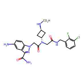 NC(=O)c1nn(CC(=O)N(CC(=O)NCc2cccc(Cl)c2F)[C@H]2C[C@H](NC(=O)O)C2)c2ccc(N)cc12